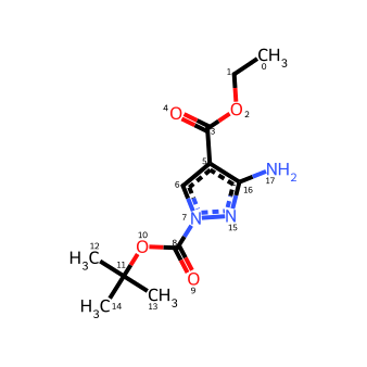 CCOC(=O)c1cn(C(=O)OC(C)(C)C)nc1N